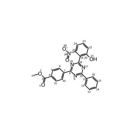 COC(=O)c1ccc(-c2nc(-c3ccccc3)nc(-c3c(O)cccc3[N+](=O)[O-])n2)cc1